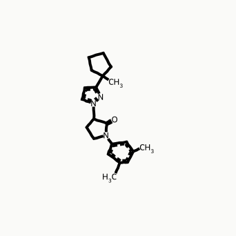 Cc1cc(C)cc(N2CCC(n3ccc(C4(C)CCCC4)n3)C2=O)c1